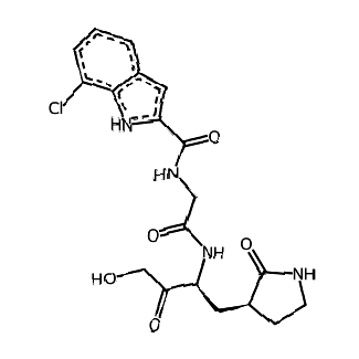 O=C(CNC(=O)c1cc2cccc(Cl)c2[nH]1)N[C@@H](C[C@@H]1CCNC1=O)C(=O)CO